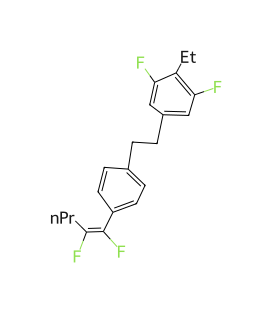 CCC/C(F)=C(/F)c1ccc(CCc2cc(F)c(CC)c(F)c2)cc1